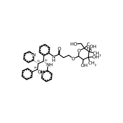 CC1(CO)OC(OCCC(=O)Nc2ccccc2[C@H](Nc2ccccn2)[C@@H](c2ccccn2)[C@@H](O)c2ccccc2)C(O)C(C)(O)C1(C)O